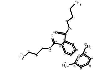 CCCCOC(=O)c1ccccc1C(=O)OCCCC.Cc1cccc(C)n1